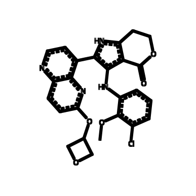 COc1c(Cl)cccc1Nc1c(-c2ccnc3ccc(OC4COC4)nc23)[nH]c2c1C(=O)OCC2